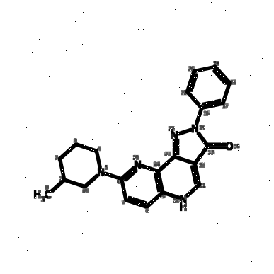 CC1CCCN(c2ccc3[nH]cc4c(=O)n(-c5ccccc5)nc-4c3n2)C1